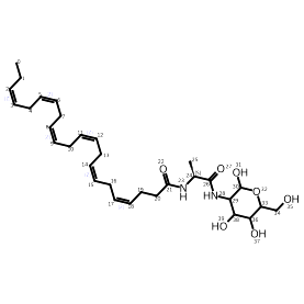 CC/C=C\C/C=C\C/C=C\C/C=C\C/C=C\C/C=C\CCC(=O)N[C@@H](C)C(=O)NC1C(O)OC(CO)C(O)C1O